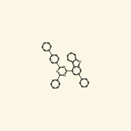 c1ccc(-c2ccc(-c3nc(-c4ccccc4)nc(-c4cc(-c5ccccc5)cc5oc6ccccc6c45)n3)cc2)cc1